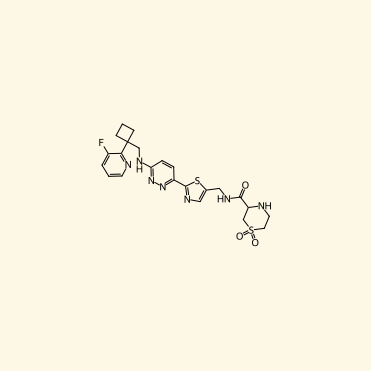 O=C(NCc1cnc(-c2ccc(NCC3(c4ncccc4F)CCC3)nn2)s1)C1CS(=O)(=O)CCN1